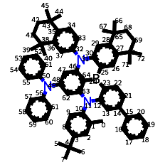 Cc1cc(C(C)(C)C)ccc1N1c2cc(-c3ccccc3)ccc2B2c3cc4c(cc3N(c3ccc5c(c3)C(C)(C)CCC5(C)C)c3cc(N(c5ccccc5)c5ccccc5)cc1c32)C(C)(C)CCC4(C)C